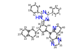 c1ccc(C2=NC(c3ccccc3)NC(c3cc(-c4ccc5ccccc5c4)cc(-c4cc5nccnc5c5cccnc45)c3)=N2)cc1